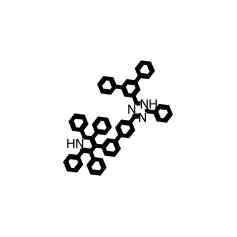 c1ccc(C2=C(c3ccccc3)C(c3cccc(-c4ccc(C5=NC(c6ccccc6)NC(c6cc(-c7ccccc7)cc(-c7ccccc7)c6)=N5)cc4)c3)=C(c3ccccc3)C(c3ccccc3)N2)cc1